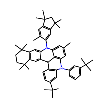 Cc1cc2c3c(c1)N(c1cc4c(cc1C)C(C)(C)CC4(C)C)c1cc4c(cc1B3c1ccc(C(C)(C)C)cc1N2c1cccc(C(C)(C)C)c1)C(C)(C)CCC4(C)C